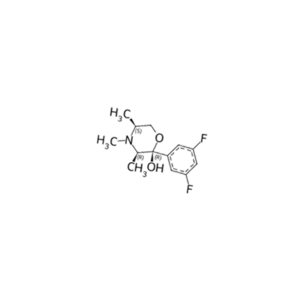 C[C@H]1CO[C@](O)(c2cc(F)cc(F)c2)[C@@H](C)N1C